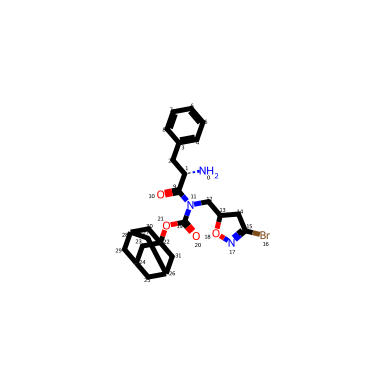 N[C@@H](Cc1ccccc1)C(=O)N(CC1CC(Br)=NO1)C(=O)OC12CC3CC(CC(C3)C1)C2